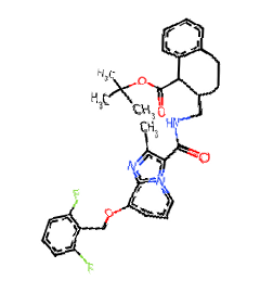 Cc1nc2c(OCc3c(F)cccc3F)cccn2c1C(=O)NCC1CCc2ccccc2C1C(=O)OC(C)(C)C